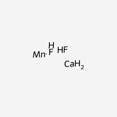 F.F.[CaH2].[Mn]